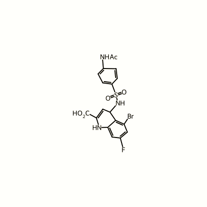 CC(=O)Nc1ccc(S(=O)(=O)NC2C=C(C(=O)O)Nc3cc(F)cc(Br)c32)cc1